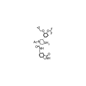 CC(=O)N1C[C@H](c2ccc(OC(F)F)c(OCC3CC3)c2)[SiH2]C[C@@H]1C(=O)NCc1ccc2c(c1)C(=O)NC2